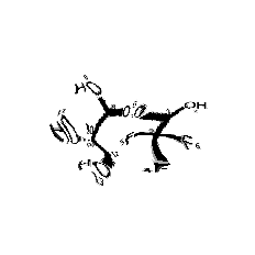 O=C(O)C(F)(F)F.O=C(O)[C@@H](O)CO